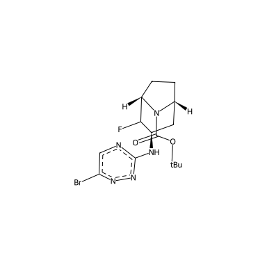 CC(C)(C)OC(=O)N1[C@@H]2CC[C@H]1C(F)[C@H](Nc1ncc(Br)nn1)C2